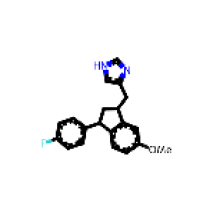 COc1ccc2c(c1)C(Cc1c[nH]cn1)CC2c1ccc(F)cc1